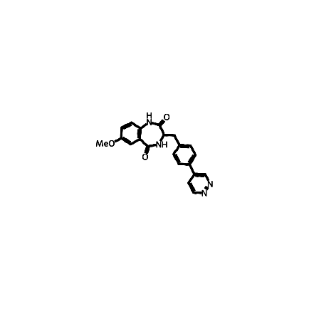 COc1ccc2c(c1)C(=O)NC(Cc1ccc(-c3ccnnc3)cc1)C(=O)N2